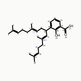 CC(C)=CCC/C(C)=C/CC(/C=C(\C)CCC=C(C)C)c1cccc(C(=O)S)c1O